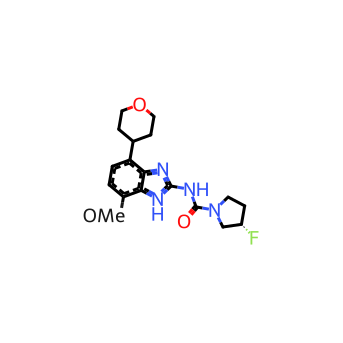 COc1ccc(C2CCOCC2)c2nc(NC(=O)N3CC[C@H](F)C3)[nH]c12